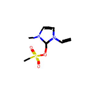 C=CN1C=CN(C)C1OS(C)(=O)=O